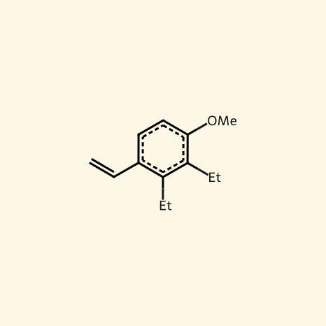 C=Cc1ccc(OC)c(CC)c1CC